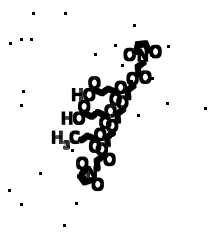 CCCC(=O)OC(COCC(COCC(COC(=O)CCN1C(=O)C=CC1=O)OC(=O)CCC(=O)O)OC(=O)CCC(=O)O)COC(=O)CCN1C(=O)C=CC1=O